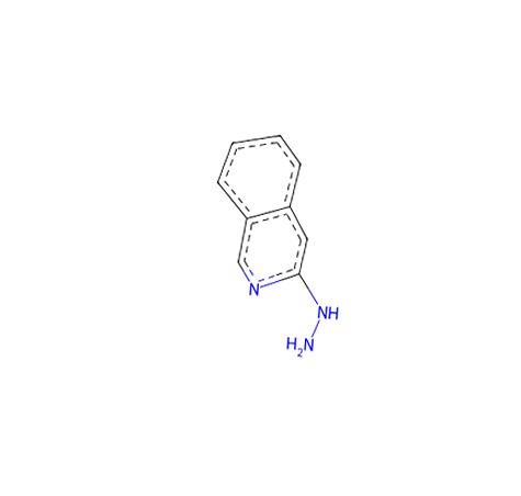 NNc1cc2ccccc2cn1